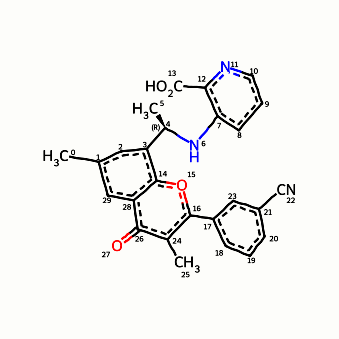 Cc1cc([C@@H](C)Nc2cccnc2C(=O)O)c2oc(-c3cccc(C#N)c3)c(C)c(=O)c2c1